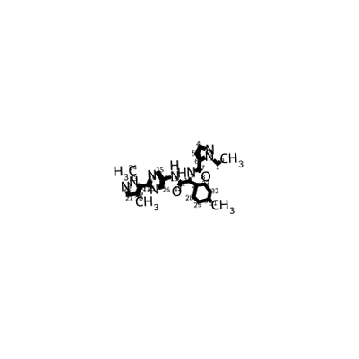 CCn1nccc1C(=O)N[C@H](C(=O)Nc1cnc(-c2c(C)cnn2C)nc1)C1CCC(C)CC1